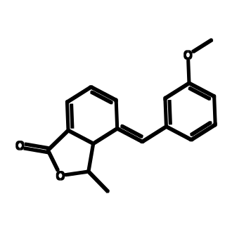 COc1cccc(C=C2C=CC=C3C(=O)OC(C)C23)c1